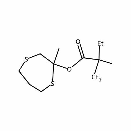 CCC(C)(C(=O)OC1(C)CSCCCS1)C(F)(F)F